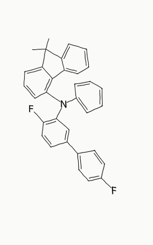 CC1(C)c2ccccc2-c2c(N(c3ccccc3)c3cc(-c4ccc(F)cc4)ccc3F)cccc21